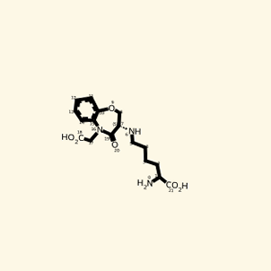 NC(CCCCN[C@H]1COc2ccccc2N(CC(=O)O)C1=O)C(=O)O